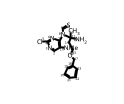 CNc1cnc(Cl)nc1N(C=S)C(C)(N)CCOCc1ccccc1